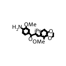 COc1cc(C(=O)/C(=C/c2ccc3c(c2OC)OCCO3)C(C)C)ccc1N